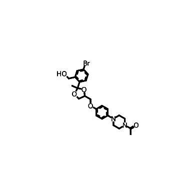 CC(=O)N1CCN(c2ccc(OCC3COC(C)(c4ccc(Br)cc4CO)O3)cc2)CC1